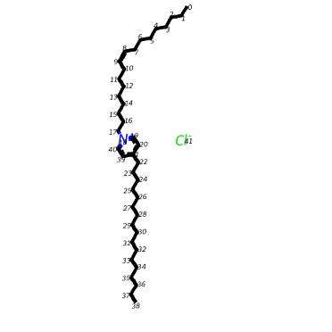 CCCCCCCC/C=C\CCCCCCCC[n+]1ccc(CCCCCCCCCCCCCCCCC)cc1.[Cl-]